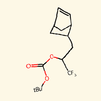 CC(C)(C)OC(=O)OC(CC1CC2C=CC1C2)C(F)(F)F